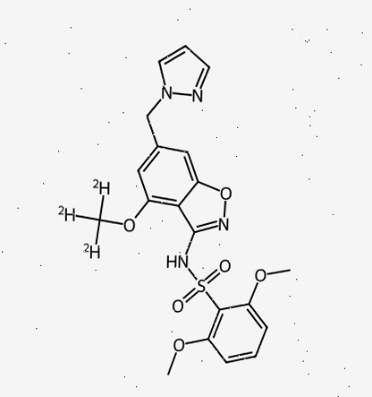 [2H]C([2H])([2H])Oc1cc(Cn2cccn2)cc2onc(NS(=O)(=O)c3c(OC)cccc3OC)c12